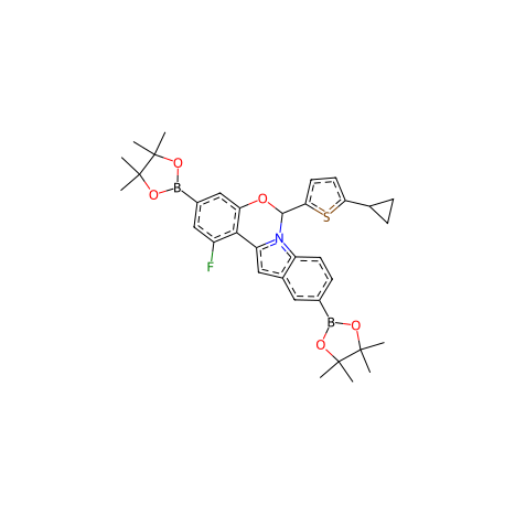 CC1(C)OB(c2cc(F)c3c(c2)OC(c2ccc(C4CC4)s2)n2c-3cc3cc(B4OC(C)(C)C(C)(C)O4)ccc32)OC1(C)C